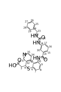 O=C(O)CC(Sc1cccc(NC(=O)c2cccc(NC(=O)NCc3ccccc3)c2)c1)c1cccnc1